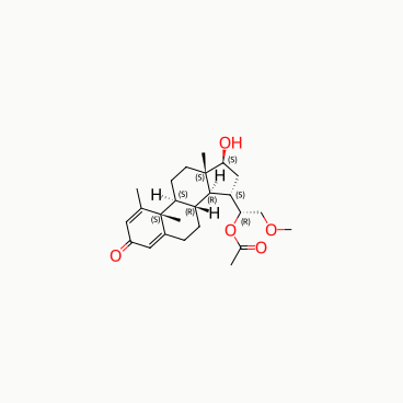 COC[C@H](OC(C)=O)[C@H]1C[C@H](O)[C@@]2(C)CC[C@H]3[C@@H](CCC4=CC(=O)C=C(C)[C@@]43C)[C@H]12